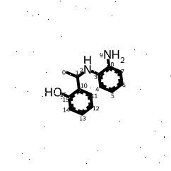 CC(Nc1ccccc1N)c1ccccc1O